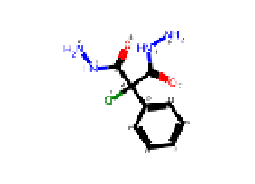 NNC(=O)C(Cl)(C(=O)NN)c1ccccc1